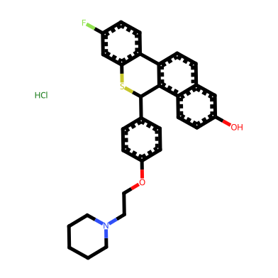 Cl.Oc1ccc2c3c(ccc2c1)-c1ccc(F)cc1SC3c1ccc(OCCN2CCCCC2)cc1